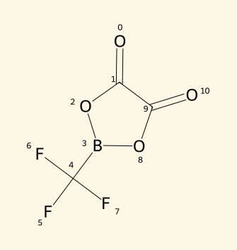 O=C1OB(C(F)(F)F)OC1=O